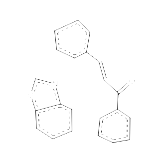 O=C(C=Cc1ccccc1)c1ccccc1.c1ccc2ocnc2c1